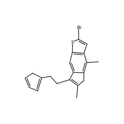 CC1=C(CCC2=CC=CC2)c2cc3sc(Br)cc3c(C)c2C1